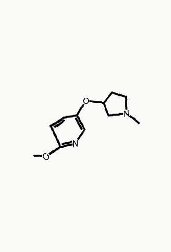 COc1ccc(OC2CCN(C)C2)cn1